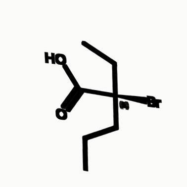 CCC[C@@](Br)(CC)C(=O)O